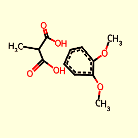 CC(C(=O)O)C(=O)O.COc1ccccc1OC